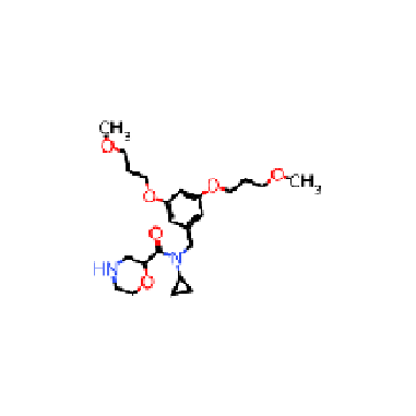 COCCCOc1cc(CN(C(=O)C2CNCCO2)C2CC2)cc(OCCCOC)c1